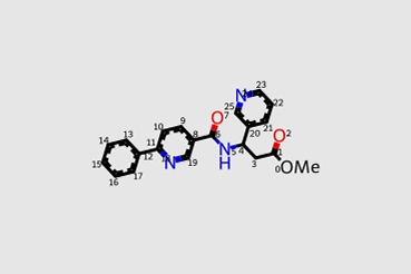 COC(=O)CC(NC(=O)c1ccc(-c2ccccc2)nc1)c1cccnc1